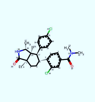 CC[C@@]12CC[C@@H](c3ccc(C(=O)N(C)C)cc3Cl)[C@H](c3ccc(Cl)cc3)[C@@H]1[C@@H](C)NC2=O